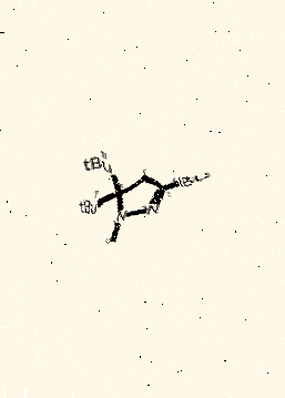 CN1N=C(C(C)(C)C)CC1(C(C)(C)C)C(C)(C)C